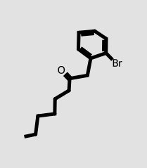 CCCCCCC(=O)Cc1ccccc1Br